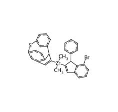 [CH3][Zr]([CH3])([C]1=Cc2cc3ccc2C1c1cccc(c1)S3)[C]1=Cc2cccc(Br)c2C1c1ccccc1